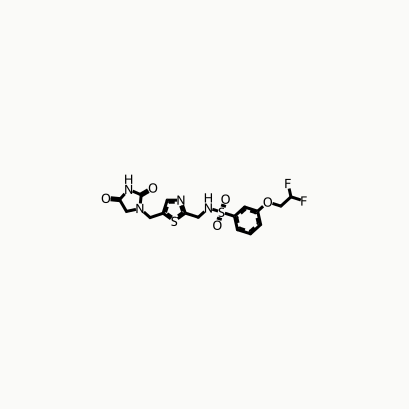 O=C1CN(Cc2cnc(CNS(=O)(=O)c3cccc(OCC(F)F)c3)s2)C(=O)N1